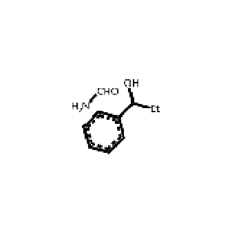 CCC(O)c1ccccc1.NC=O